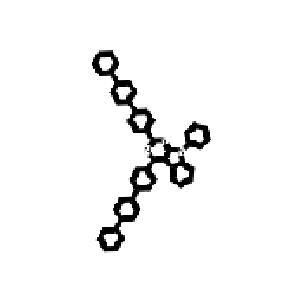 c1ccc(-c2ccc(-c3ccc(-c4nc(-c5ccc(-c6ccc(-c7ccccc7)cc6)cc5)c5c6ccccc6n(-c6ccccc6)c5n4)cc3)cc2)cc1